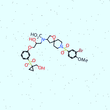 COc1ccc(S(=O)(=O)N2CCC3(CC2)CC(N(CC(O)COc2cccc(S(=O)(=O)C4(CO)CC4)c2)C(=O)O)CO3)cc1Br